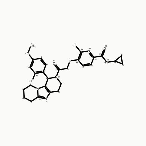 COc1ccc(C2c3c(nc4n3CCCC4)CCN2C(=O)COc2ccc(C(=O)NC3CC3)nc2Cl)c(F)c1